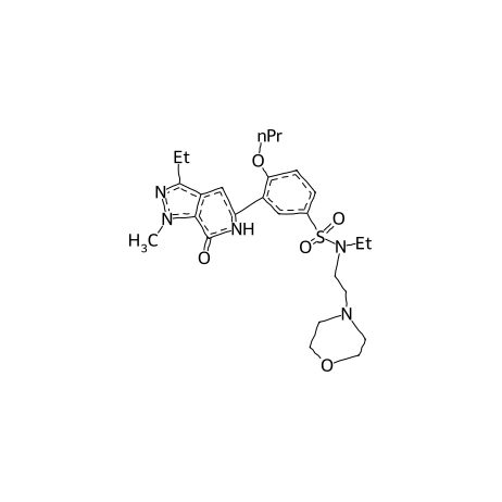 CCCOc1ccc(S(=O)(=O)N(CC)CCN2CCOCC2)cc1-c1cc2c(CC)nn(C)c2c(=O)[nH]1